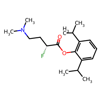 CC(C)c1cccc(C(C)C)c1OC(=O)[C@H](F)CCN(C)C